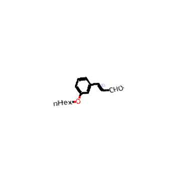 CCCCCCOc1cccc(/C=C/[C]=O)c1